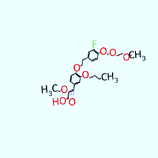 CCCCOc1cc(/C=C(\OCC)C(=O)O)ccc1OCCc1ccc(OCOCCOC)c(F)c1